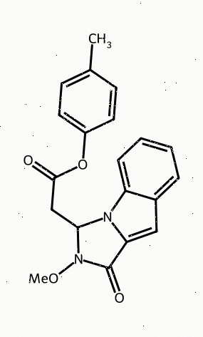 CON1C(=O)c2cc3ccccc3n2C1CC(=O)Oc1ccc(C)cc1